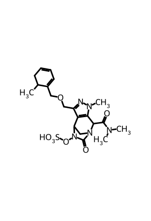 CC1CC=CC=C1COCc1nn(C)c2c1C1CN(C(=O)N1OS(=O)(=O)O)C2C(=O)N(C)C